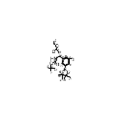 CCOC(=O)C[C@H](NC(=O)OC(C)(C)C)c1cc(C)cc(B2OC(C)(C)C(C)(C)O2)c1